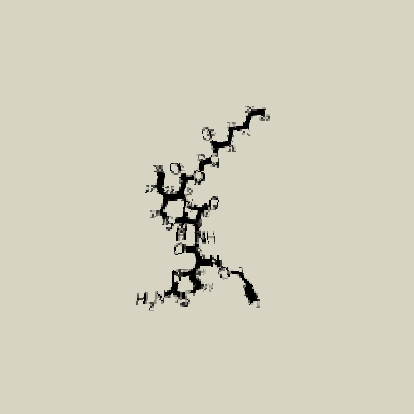 C#CCON=C(C(=O)NC1C(=O)N2C(C(=O)OCOC(=O)CCCCC)=C(C=C)CS[C@@H]12)c1csc(N)n1